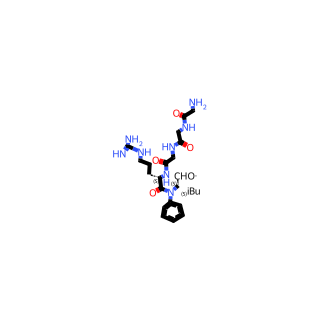 CC[C@H](C)[C@@H]([C]=O)N(C(=O)[C@H](CCCNC(=N)N)NC(=O)CNC(=O)CNC(=O)CN)c1ccccc1